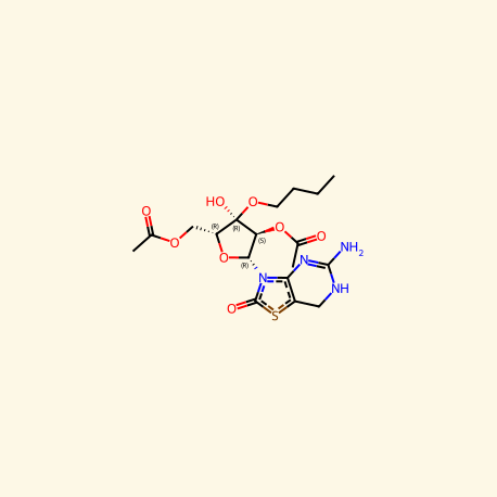 CCCCO[C@]1(O)[C@@H](COC(C)=O)O[C@@H](n2c3c(sc2=O)CNC(N)=N3)[C@@H]1OC(C)=O